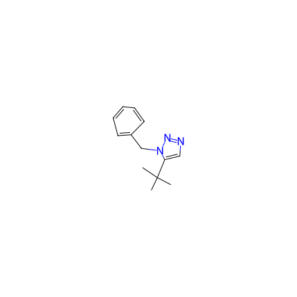 CC(C)(C)c1cnnn1Cc1ccccc1